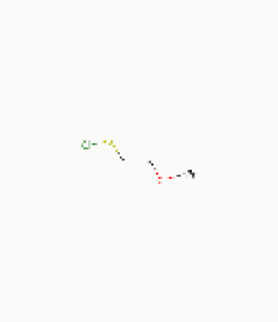 CCCOCCSCl